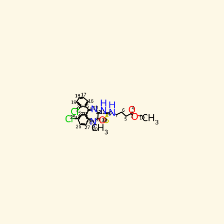 CCOC(=O)CCCNC(=S)NC1N=C(c2ccccc2Cl)c2cc(Cl)ccc2N(C)C1=O